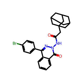 O=C(CC12CC3CC(CC(C3)C1)C2)Nn1nc(-c2ccc(Br)cc2)c2ccccc2c1=O